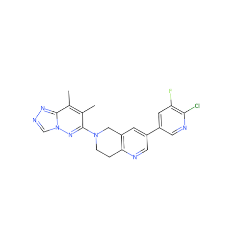 Cc1c(N2CCc3ncc(-c4cnc(Cl)c(F)c4)cc3C2)nn2cnnc2c1C